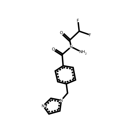 NN(C(=O)c1ccc(Cn2ccnc2)cc1)C(=O)C(F)F